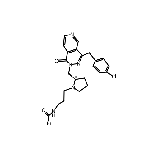 CCC(=O)NCCCN1CCC[C@@H]1Cn1nc(Cc2ccc(Cl)cc2)c2cnccc2c1=O